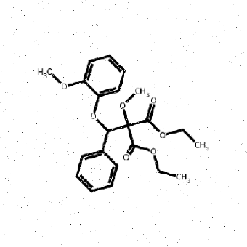 CCOC(=O)C(OC)(C(=O)OCC)C(Oc1ccccc1OC)c1ccccc1